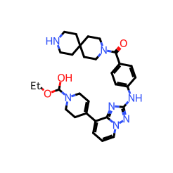 CCOC(O)N1CC=C(c2cccn3nc(Nc4ccc(C(=O)N5CCC6(CCNCC6)CC5)cc4)nc23)CC1